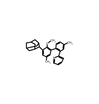 COc1c(-c2ccc(C)cc2-c2ccccn2)cc(C)cc1C1C2CC3CC(C2)CC1C3